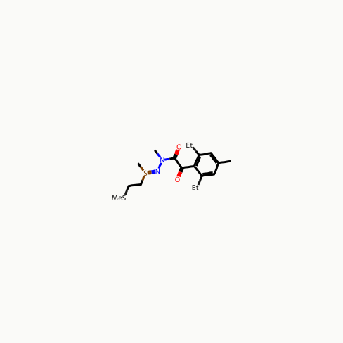 CCc1cc(C)cc(CC)c1C(=O)C(=O)N(C)/N=S(\C)CCSC